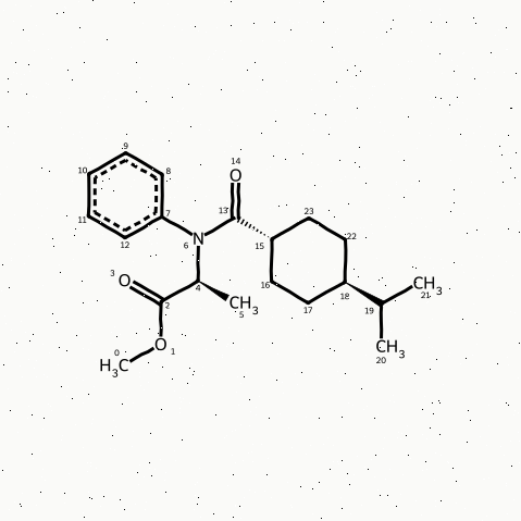 COC(=O)[C@H](C)N(c1ccccc1)C(=O)[C@H]1CC[C@H](C(C)C)CC1